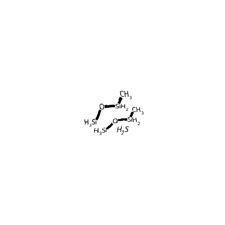 C[SiH2]O[SiH3].C[SiH2]O[SiH3].S